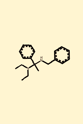 CCN(CC)C(C)(NCc1ccccc1)c1ccccc1